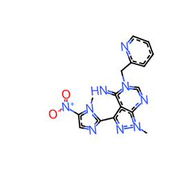 Cn1c([N+](=O)[O-])cnc1-c1nn(C)c2ncn(Cc3ccccn3)c(=N)c12